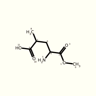 COC(=O)C(N)CC(C)C(=O)O